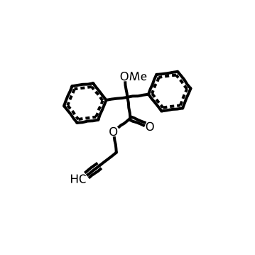 C#CCOC(=O)C(OC)(c1ccccc1)c1ccccc1